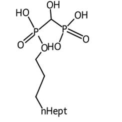 CCCCCCCCCCOP(=O)(O)C(O)P(=O)(O)O